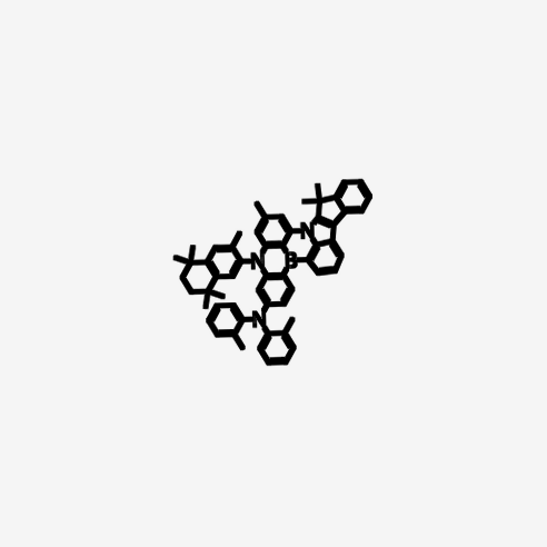 Cc1cc2c3c(c1)-n1c4c(c5cccc(c51)B3c1ccc(N(c3ccccc3C)c3ccccc3C)cc1N2c1cc2c(cc1C)C(C)(C)CCC2(C)C)-c1ccccc1C4(C)C